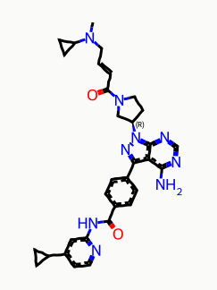 CN(CC=CC(=O)N1CC[C@@H](n2nc(-c3ccc(C(=O)Nc4cc(C5CC5)ccn4)cc3)c3c(N)ncnc32)C1)C1CC1